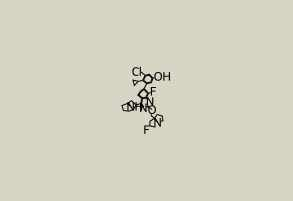 Oc1cc(Cl)c(C2CC2)c(-c2ccc3c(C4CC5CCC(C4)N5)nc(OCC45CCCN4CC(F)C5)nc3c2F)c1